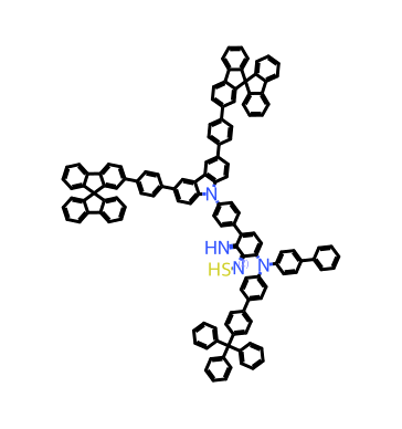 N=C1C(c2ccc(-n3c4ccc(-c5ccc(-c6ccc7c(c6)C6(c8ccccc8-c8ccccc86)c6ccccc6-7)cc5)cc4c4cc(-c5ccc(-c6ccc7c(c6)C6(c8ccccc8-c8ccccc86)c6ccccc6-7)cc5)ccc43)cc2)=CC=C(N(c2ccc(-c3ccccc3)cc2)c2ccc(-c3ccc(C(c4ccccc4)(c4ccccc4)c4ccccc4)cc3)cc2)/C1=N/S